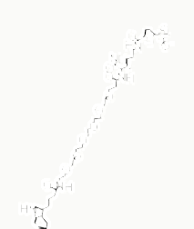 NC(=O)C(CCCCNC(=O)c1ccc([N+](=O)[O-])o1)NC(=O)CCOCCOCCOCCOCCOCCOCCNC(=O)CCCc1c[nH]c2ccccc12